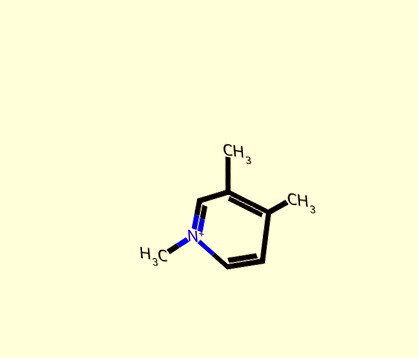 Cc1cc[n+](C)cc1C